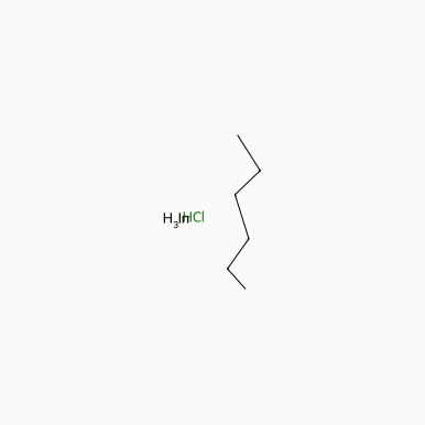 CCCCCC.Cl.[InH3]